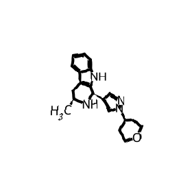 C[C@H]1Cc2c([nH]c3ccccc23)[C@@H](c2cnn(C3CCOCC3)c2)N1